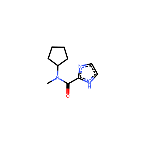 CN(C(=O)c1ncc[nH]1)C1CCCC1